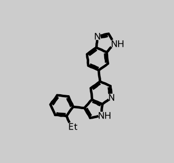 CCc1ccccc1-c1c[nH]c2ncc(-c3ccc4nc[nH]c4c3)cc12